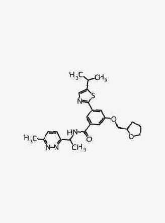 Cc1ccc(C(C)NC(=O)c2cc(OC[C@H]3CCCO3)cc(-c3ncc(C(C)C)s3)c2)nn1